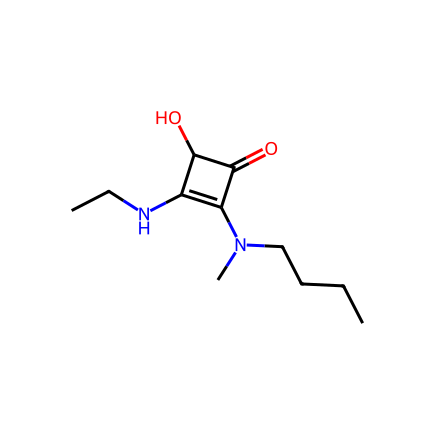 CCCCN(C)C1=C(NCC)C(O)C1=O